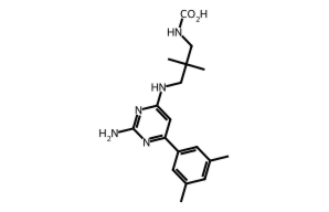 Cc1cc(C)cc(-c2cc(NCC(C)(C)CNC(=O)O)nc(N)n2)c1